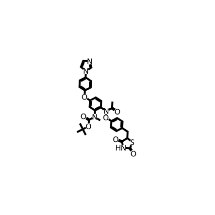 CC(=O)N(Oc1ccc(CC2SC(=O)NC2=O)cc1)c1ccc(Oc2ccc(-n3ccnc3)cc2)cc1N(C)C(=O)OC(C)(C)C